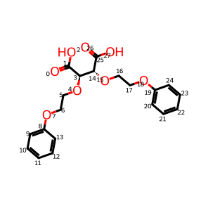 O=C(O)[C@H](OCCOc1ccccc1)[C@@H](OCCOc1ccccc1)C(=O)O